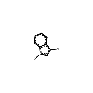 [O-][s+]1cc(Cl)c2ccccc21